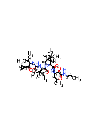 CCCNC(=O)C(=O)C(CCC)NC(=O)[C@@H]1[C@@H]2[C@H](CN1C(=O)[C@@H](NC(=O)N[C@H](C(=O)C1CC1)C(C)C)C(C)(C)C)C2(C)C